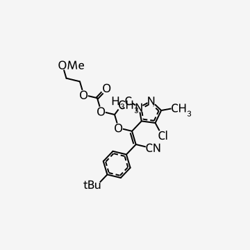 COCCOC(=O)OC(C)O/C(=C(/C#N)c1ccc(C(C)(C)C)cc1)c1c(Cl)c(C)nn1C